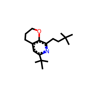 CC(C)(C)CCc1nc(C(C)(C)C)cc2c1OCCC2